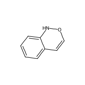 C1=Cc2ccccc2NO1